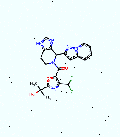 CC(C)(O)c1nc(C(F)F)c(C(=O)N2CCc3[nH]cnc3C2c2cc3ccccn3n2)o1